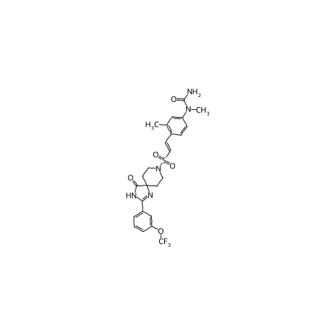 Cc1cc(N(C)C(N)=O)ccc1C=CS(=O)(=O)N1CCC2(CC1)N=C(c1cccc(OC(F)(F)F)c1)NC2=O